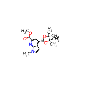 COC(=O)c1cc(B2OC(C)(C)C(C)(C)O2)c2ccn(C)c2n1